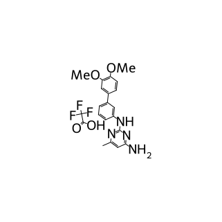 COc1ccc(-c2cccc(Nc3nc(C)cc(N)n3)c2)cc1OC.O=C(O)C(F)(F)F